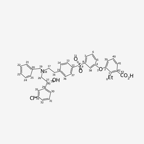 CCc1c(Oc2cccc(S(=O)(=O)c3ccc(CCN(Cc4ccccc4)C[C@H](O)c4cccc(Cl)c4)cc3)c2)cccc1C(=O)O